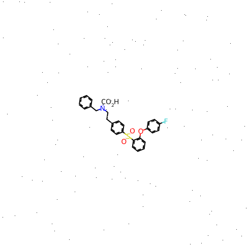 O=C(O)N(CCc1ccc(S(=O)(=O)c2ccccc2Oc2ccc(F)cc2)cc1)Cc1ccccc1